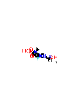 CC(CCN1CCN(c2cc3c(cc2F)c(=O)c(OC(=O)O)cn3C2CC2)CC1)=NO